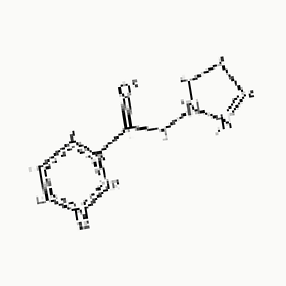 O=C(CN1CCC=N1)c1cccnc1